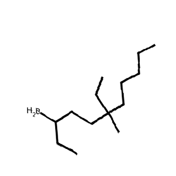 BC(CC)CCC(C)(CC)CCCCC